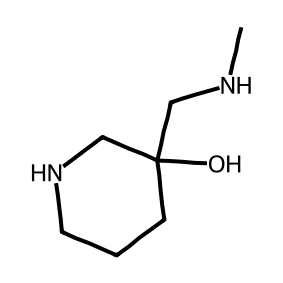 CNCC1(O)CCCNC1